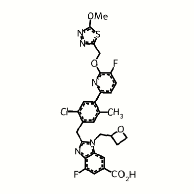 COc1nnc(COc2nc(-c3cc(Cl)c(Cc4nc5c(F)cc(C(=O)O)cc5n4CC4CCO4)cc3C)ccc2F)s1